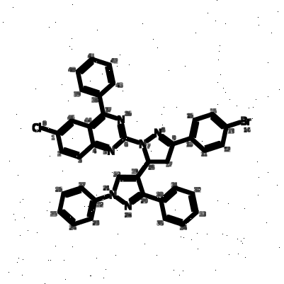 Clc1ccc2nc(N3N=C(c4ccc(Br)cc4)CC3c3cn(-c4ccccc4)nc3-c3ccccc3)nc(-c3ccccc3)c2c1